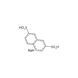 O=S(=O)(O)c1[c]c2cc(S(=O)(=O)O)ccc2cc1.[NaH]